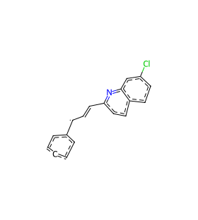 Clc1ccc2ccc(/C=C/[CH]c3ccccc3)nc2c1